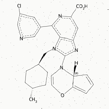 C[C@H]1CC[C@H](Cn2c(N3C=COC4=CC=C[C@H]43)nc3cc(C(=O)O)nc(-c4cncc(Cl)c4)c32)CC1